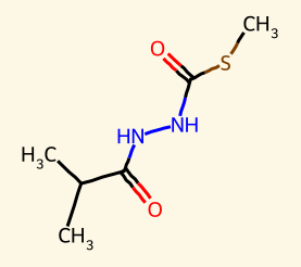 CSC(=O)NNC(=O)C(C)C